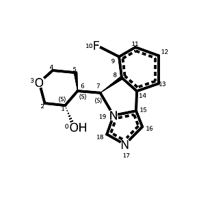 O[C@@H]1COCC[C@H]1[C@H]1c2c(F)cccc2-c2cncn21